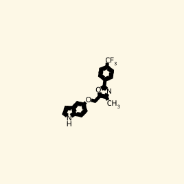 Cc1nc(-c2ccc(C(F)(F)F)cc2)oc1COc1ccc2[nH]ccc2c1